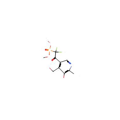 CCOP(=O)(OCC)C(F)(F)C(=O)c1cnc(C)c(O)c1CO